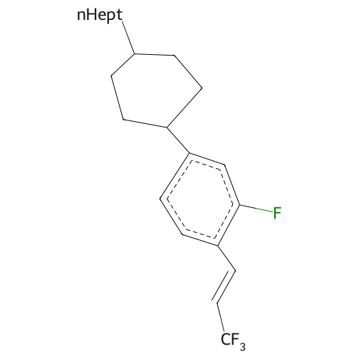 CCCCCCCC1CCC(c2ccc(/C=C/C(F)(F)F)c(F)c2)CC1